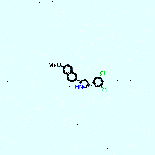 COc1ccc2cc([C@H]3C[C@H](c4cc(Cl)cc(Cl)c4)CN3)ccc2c1